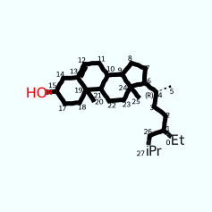 CCC(CC[C@@H](C)C1CCC2C3CC=C4CC(O)CCC4(C)C3CCC21C)CC(C)C